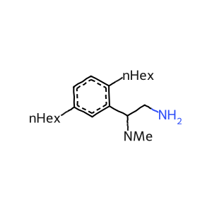 CCCCCCc1ccc(CCCCCC)c(C(CN)NC)c1